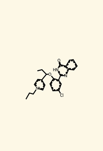 CCC[n+]1ccc(C(CC)Oc2ccc(Cl)cc2-c2nc3ccccc3c(=O)[nH]2)cc1